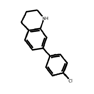 Clc1ccc(-c2ccc3c(c2)NCCC3)cc1